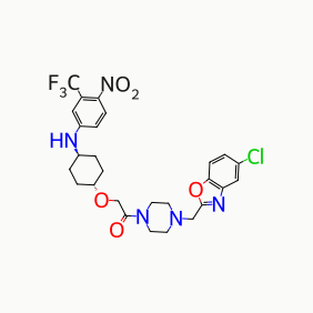 O=C(CO[C@H]1CC[C@H](Nc2ccc([N+](=O)[O-])c(C(F)(F)F)c2)CC1)N1CCN(Cc2nc3cc(Cl)ccc3o2)CC1